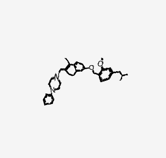 COc1cc(CC(C)C)ccc1COc1ccc2c(c1)CCC(CN1CCN(c3ccccc3)CC1)=C2C